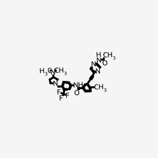 CC(=O)Nc1cnc(C#Cc2cc(C(=O)Nc3ccc(CN4CCC(N(C)C)C4)c(C(F)(F)F)c3)ccc2C)cn1